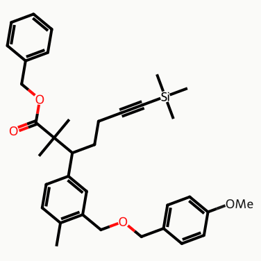 COc1ccc(COCc2cc(C(CCC#C[Si](C)(C)C)C(C)(C)C(=O)OCc3ccccc3)ccc2C)cc1